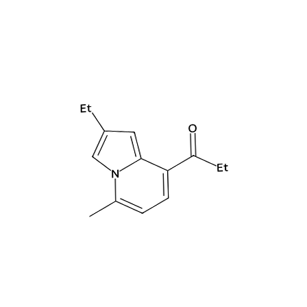 CCC(=O)c1ccc(C)n2cc(CC)cc12